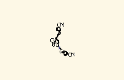 N#Cc1ccc(OC/C=C/CN2CCN(CCCOc3ccc(C#N)cc3)C(=O)C2=O)cc1